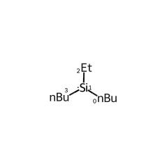 CCCC[Si](CC)CCCC